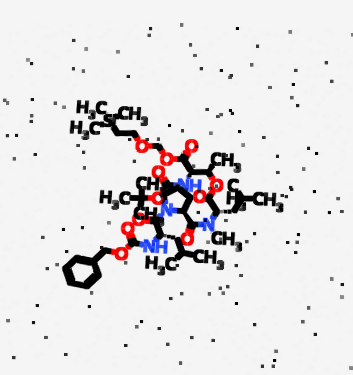 CC(C)C[C@H](NC(=O)OCc1ccccc1)C(=O)N1CCC[C@H]1C(=O)N(C)[C@@H](CC(C)C)C(=O)O[C@H](C)[C@H](NC(=O)OC(C)(C)C)C(=O)OCOCC[Si](C)(C)C